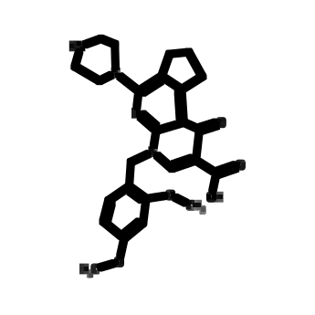 COc1ccc(Cn2cc(C(=O)O)c(=O)c3c4c(c(N5CCNCC5)nc32)CCC4)c(OC)c1